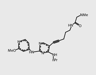 CCCNc1nc(Nc2ccnc(OC)c2)ncc1C#CCCCNC(=O)CNC